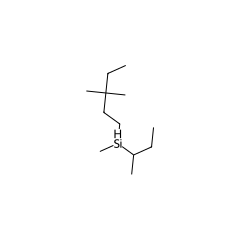 CCC(C)[SiH](C)CCC(C)(C)CC